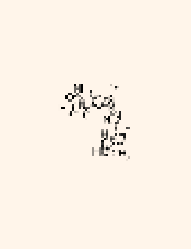 CN(CC(N)=O)C(=O)c1ccc2c(C3CC3)nn(-c3ncc(-c4cc(C(C)(C)O)ccc4F)cn3)c2c1